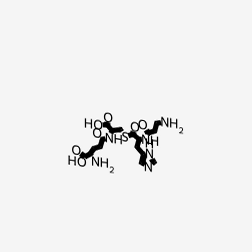 NCCC(=O)NC(Cc1cnc[nH]1)C(=O)SCC(NC(=O)CCC(N)C(=O)O)C(=O)O